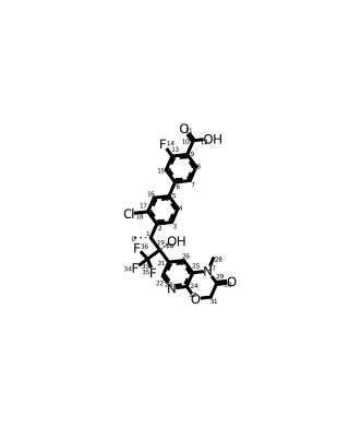 C[C@H](c1ccc(-c2ccc(C(=O)O)c(F)c2)cc1Cl)[C@@](O)(c1cnc2c(c1)N(C)C(=O)CO2)C(F)(F)F